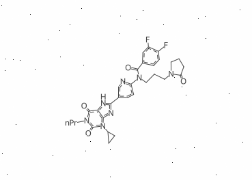 CCCn1c(=O)c2[nH]c(-c3ccc(N(CCCN4CCCC4=O)C(=O)c4ccc(F)c(F)c4)nc3)nc2n(C2CC2)c1=O